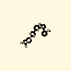 COc1ccccc1C1CCc2nc3ccc(-c4cnc(N5CCN6C(=O)NCC6C5)nc4)nc3n21